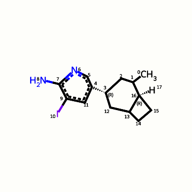 CC1C[C@@H](c2cnc(N)c(I)c2)CC2CC[C@H]12